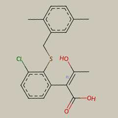 C/C(O)=C(\C(=O)O)c1cccc(Cl)c1SCc1cc(C)ccc1C